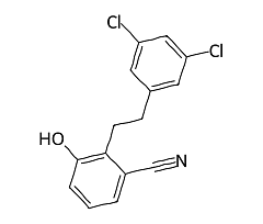 N#Cc1cccc(O)c1CCc1cc(Cl)cc(Cl)c1